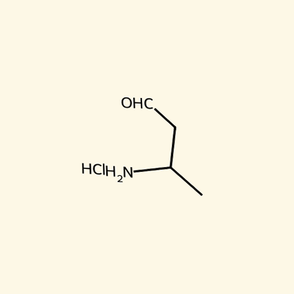 CC(N)CC=O.Cl